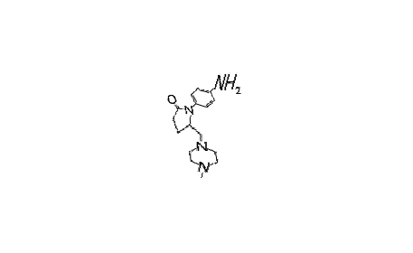 CN1CCN(CC2CCC(=O)N2c2ccc(N)cc2)CC1